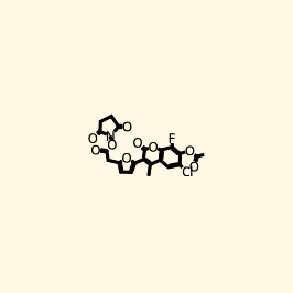 CC(=O)Oc1c(Cl)cc2c(C)c(-c3ccc(CC(=O)ON4C(=O)CCC4=O)o3)c(=O)oc2c1F